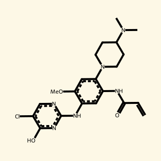 C=CC(=O)Nc1cc(Nc2ncc(Cl)c(O)n2)c(OC)cc1N1CCC(N(C)C)CC1